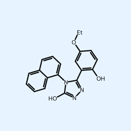 CCOc1ccc(O)c(-c2nnc(O)n2-c2cccc3ccccc23)c1